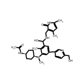 CC(=O)N[C@H]1CC[C@@H](N(C)c2cc(-c3ccc(CO)nc3)cc(C(O)NCc3c(C)cc(C)[nH]c3=O)c2C)CC1